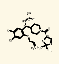 C=CCOc1cc(CC)c(Cl)cc1[C@H](N[S@@+]([O-])C(C)(C)C)C1CCN(C(=O)[C@H]2COC(C)(C)O2)CC1